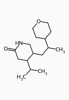 CC(C)C1CC(=O)NCC1CC(C)C1CCOCC1